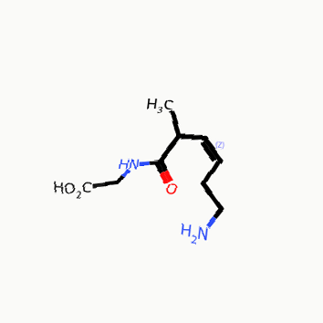 CC(/C=C\CCN)C(=O)NCC(=O)O